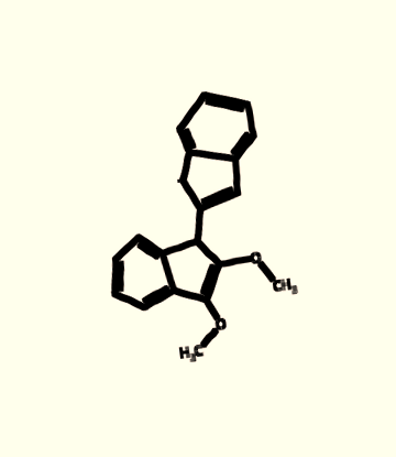 COC1=C(OC)C(C2=Cc3ccccc3[CH]2)c2ccccc21